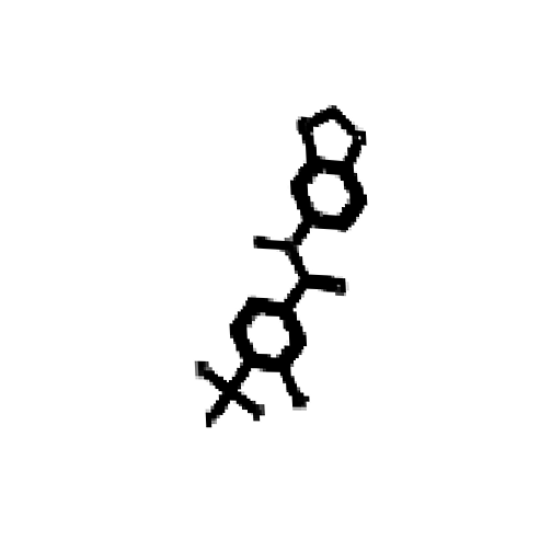 CN(C(=O)c1ccc(C(F)(F)F)c(Br)c1)c1ccc2c(c1)OCO2